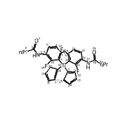 CCCC(=O)Nc1ccc(F)[c]([Ti]([C]2=CC=CC2)([C]2=CC=CC2)[c]2c(F)ccc(NC(=O)CCC)c2F)c1F